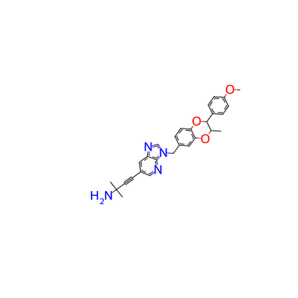 COc1ccc(C2Oc3ccc(Cn4cnc5cc(C#CC(C)(C)N)cnc54)cc3OC2C)cc1